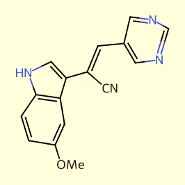 COc1ccc2[nH]cc(/C(C#N)=C/c3cncnc3)c2c1